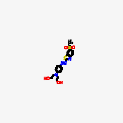 CS(=O)(=O)c1ccc2nc(N=Nc3ccc(N(CCO)CCO)cc3)sc2c1